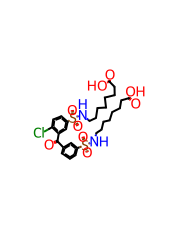 O=C(O)CCCCCCCNS(=O)(=O)c1cccc(C(=O)c2cc(S(=O)(=O)NCCCCCCCC(=O)O)ccc2Cl)c1